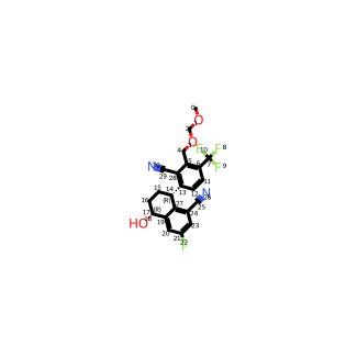 COCOCc1c(C(F)(F)F)ccc([C@H]2CC[C@@H](O)c3cc(F)cc(C#N)c32)c1C#N